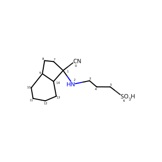 N#CC1(NCCCS(=O)(=O)O)CCC2CCCCC21